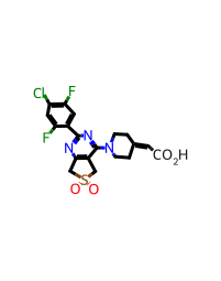 O=C(O)C=C1CCN(c2nc(-c3cc(F)c(Cl)cc3F)nc3c2CS(=O)(=O)C3)CC1